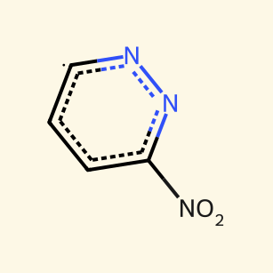 O=[N+]([O-])c1cc[c]nn1